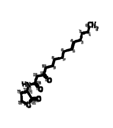 CCCCCCCCCCCC(=O)CC(=O)N[C@@H]1CCOC1=O